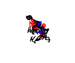 CC(C)(C)OC(=O)NCCN(CC1=C/C=C\C=C/C=C\1)C(=O)CCN(C[C@H](O)COc1cccc2ccccc12)C(=O)OC(C)(C)C